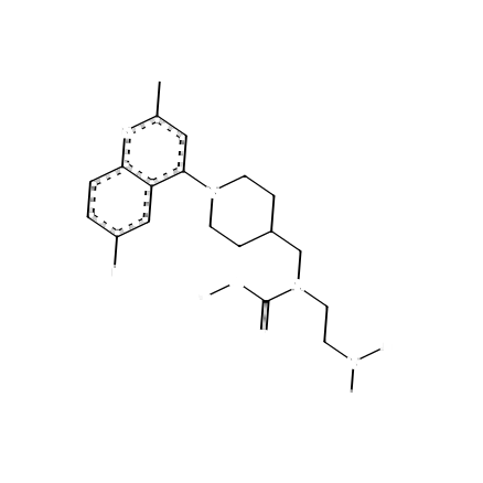 CCN(CC)CCN(CC1CCN(c2cc(C)nc3ccc(F)cc23)CC1)C(=O)OC(C)(C)C